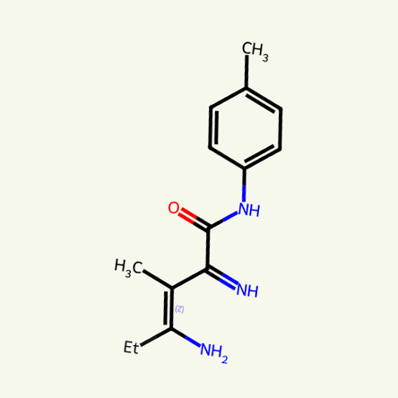 CC/C(N)=C(\C)C(=N)C(=O)Nc1ccc(C)cc1